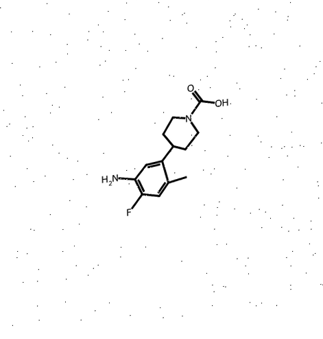 Cc1cc(F)c(N)cc1C1CCN(C(=O)O)CC1